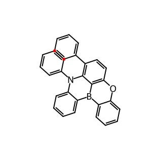 c1ccc(-c2ccc3c4c2N(c2ccccc2)c2ccccc2B4c2ccccc2O3)cc1